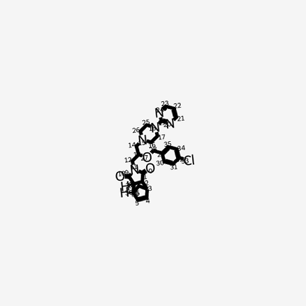 O=C1C2C3C=C[C@@H](C3)[C@@H]2C(=O)N1CC(CN1CCN(c2ncccn2)CC1)OCc1ccc(Cl)cc1